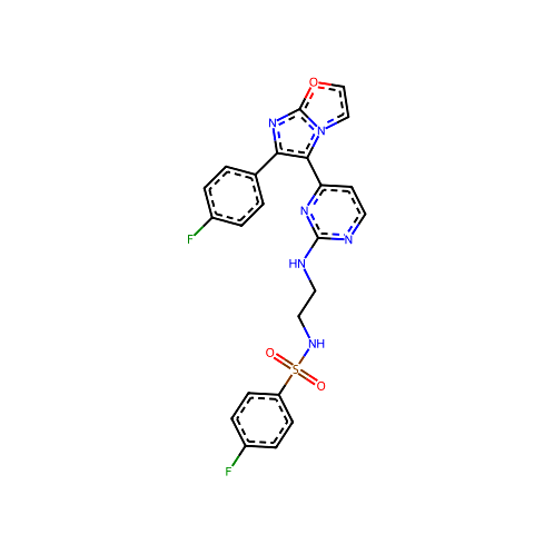 O=S(=O)(NCCNc1nccc(-c2c(-c3ccc(F)cc3)nc3occn23)n1)c1ccc(F)cc1